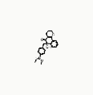 COB(OC)c1ccc(CC2(O)C(=O)C3=C(OCCC3)c3ccccc32)cc1